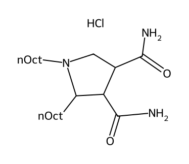 CCCCCCCCC1C(C(N)=O)C(C(N)=O)CN1CCCCCCCC.Cl